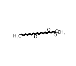 CCCCCCCCC(=O)C=CCCC=CC(=O)CCC(=O)OC